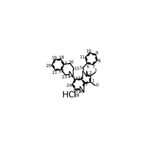 Cc1c(C)n(Cc2ccccc2)c2c(N3CCc4ccccc4C3)ccnc12.Cl